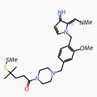 CN/C=C1/C(=N)C=CN1Cc1ccc(CN2CCN(C(=O)CCC(C)(C)SSC)CC2)cc1OC